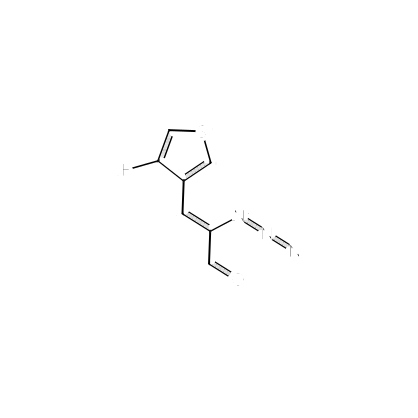 [N-]=[N+]=N/C(C=O)=C\c1cscc1F